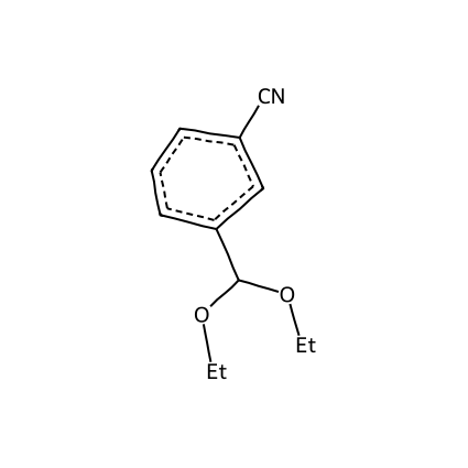 CCOC(OCC)c1cccc(C#N)c1